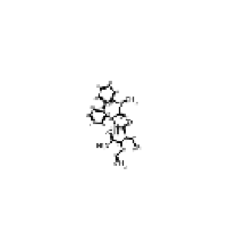 C=CCC(C(N)=O)C(CC(C)C)C(=O)NC1C(=O)N(C)c2ccccc2-c2ccccc21